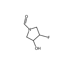 O=CN1CC(O)C(F)C1